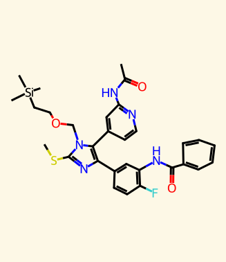 CSc1nc(-c2ccc(F)c(NC(=O)c3ccccc3)c2)c(-c2ccnc(NC(C)=O)c2)n1COCC[Si](C)(C)C